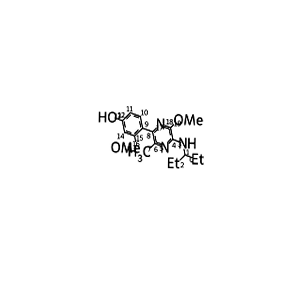 CCC(CC)Nc1nc(C)c(-c2ccc(O)cc2OC)nc1OC